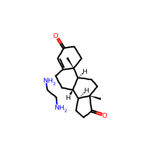 C[C@]12CCC(=O)C=C1CC[C@@H]1[C@@H]2CC[C@]2(C)C(=O)CC[C@@H]12.NCCN